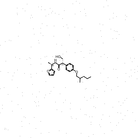 CCCC(C)COc1ccc([C@@H](CO)C(=O)N[C@H](C)c2ccco2)cc1